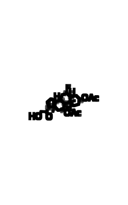 CC(=O)O[C@@H]1CC[C@]2(C)[C@@H]3[C@@H](C[C@H](F)[C@@H]2C1)[C@@H]1CC[C@H](C(=O)CO)[C@@]1(C)C[C@H]3OC(C)=O